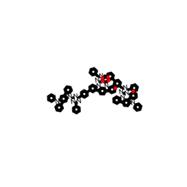 c1ccc(-c2nc(-c3ccc(-c4ccc5c(c4)c4ccc6c7ccccc7n(-c7ccccc7)c6c4n5-c4nc(-c5ccccc5)nc(-c5cccc(-c6ccc(-c7nc(-c8ccccc8)nc(-n8c9ccccc9c9ccc%10c(c%11ccccc%11n%10-c%10ccccc%10)c98)n7)cc6)c5)n4)cc3)nc(-n3c4ccccc4c4cc5c(cc43)c3ccccc3n5-c3ccccc3)n2)cc1